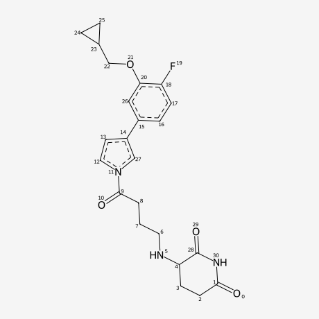 O=C1CCC(NCCCC(=O)n2ccc(-c3ccc(F)c(OCC4CC4)c3)c2)C(=O)N1